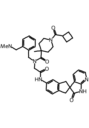 CNCc1ccccc1CN(CC(=O)Nc1ccc2c(c1)CC1(C2)C(=O)Nc2ncccc21)C(=O)C1(C)CCN(C(=O)C2CCC2)CC1